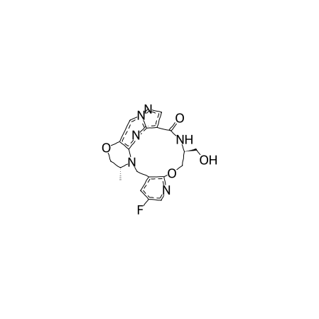 C[C@@H]1COc2cn3ncc4c3nc2N1Cc1cc(F)cnc1OC[C@H](CO)NC4=O